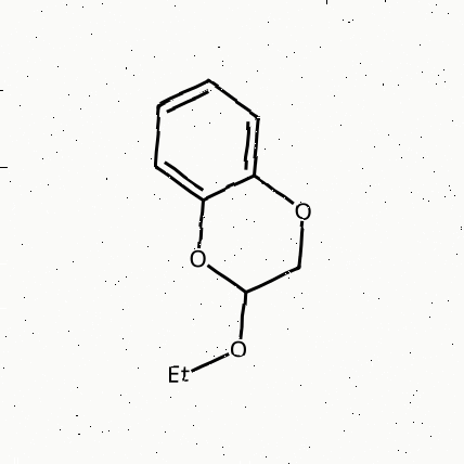 [CH2]COC1COc2ccccc2O1